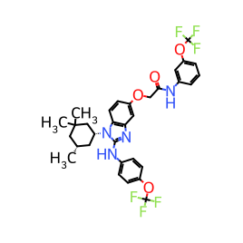 C[C@H]1C[C@@H](n2c(Nc3ccc(OC(F)(F)F)cc3)nc3cc(OCC(=O)Nc4cccc(OC(F)(F)F)c4)ccc32)CC(C)(C)C1